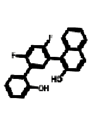 Oc1ccccc1-c1cc(-c2c(O)ccc3ccccc23)c(F)cc1F